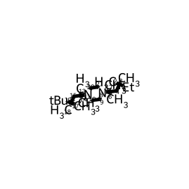 CCC(C)(C)CC(C)(C)N1CCN(C(C)(C)CC(C)(C)C(C)(C)C)CC1